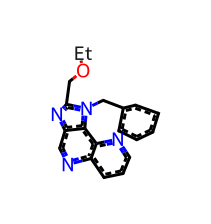 CCOCc1nc2cnc3cccnc3c2n1Cc1ccccc1